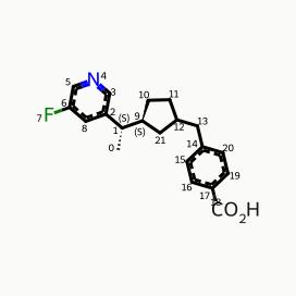 C[C@H](c1cncc(F)c1)[C@H]1CCC(Cc2ccc(C(=O)O)cc2)C1